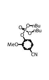 CCCCOP(=O)(OCCCC)Oc1ccc(C#N)cc1OC